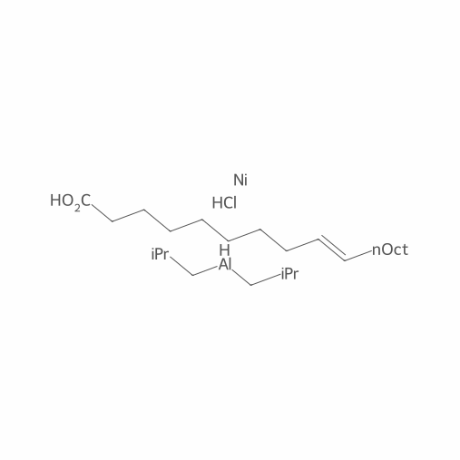 CC(C)[CH2][AlH][CH2]C(C)C.CCCCCCCCC=CCCCCCCCC(=O)O.Cl.[Ni]